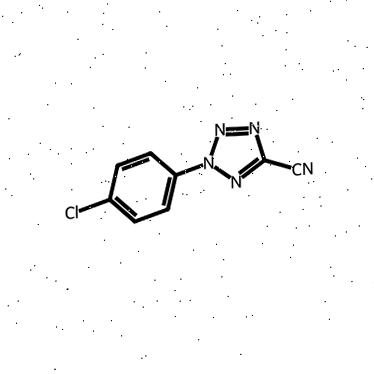 N#Cc1nnn(-c2ccc(Cl)cc2)n1